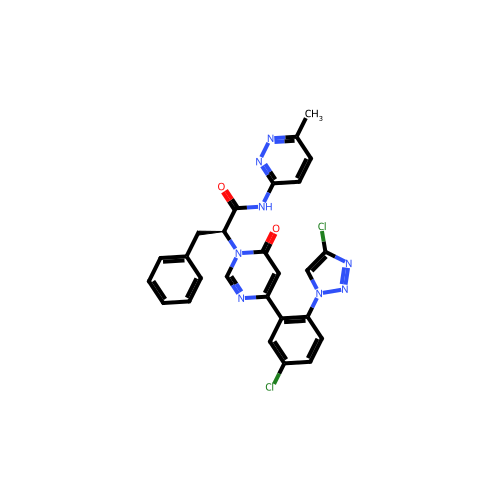 Cc1ccc(NC(=O)[C@H](Cc2ccccc2)n2cnc(-c3cc(Cl)ccc3-n3cc(Cl)nn3)cc2=O)nn1